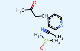 CC#N.CCC(C)=O.C[S+](C)[O-].c1ccncc1